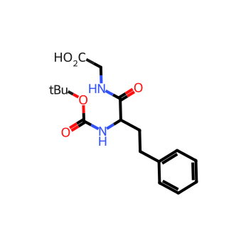 CC(C)(C)OC(=O)NC(CCc1ccccc1)C(=O)NCC(=O)O